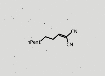 CCCCCCCC=C(C#N)C#N